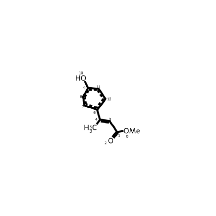 COC(=O)C=C(C)c1ccc(O)cc1